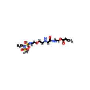 C=CC(=O)OCCNC(=O)CNCCOCCNS(=O)(=O)N(C)S(=O)(=O)C(C)C